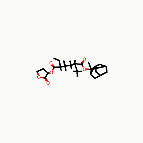 CCC(C)(C(=O)OC1CCOC1=O)C(C)(C)C(C)(C)C(C)(C(=O)OC1(C)C2CC3CC(C2)CC1C3)C(C)(C)C